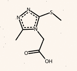 CSc1nnc(C)n1CC(=O)O